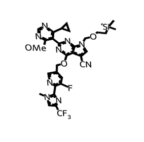 COc1ncnc(C2CC2)c1-c1nc(OCc2cnc(-c3nc(C(F)(F)F)cn3C)c(F)c2)c2c(C#N)cn(COCC[Si](C)(C)C)c2n1